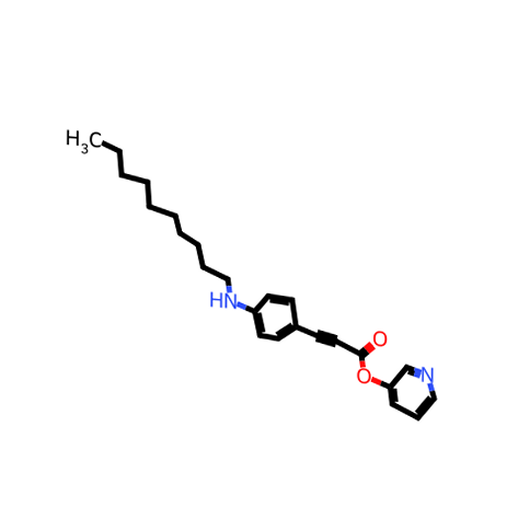 CCCCCCCCCCNc1ccc(C#CC(=O)Oc2cccnc2)cc1